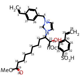 C=Cc1ccc(CN2C=CN(C(CCCCCCCC(=O)OC)C(O)CCCCCCCC)C2)cc1.C=Cc1ccc(S(=O)(=O)O)cc1